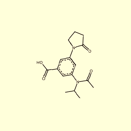 CC(=O)N(c1cc(C(=O)O)cc(N2CCCC2=O)c1)C(C)C